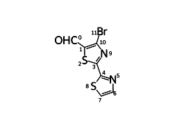 O=Cc1sc(-c2nccs2)nc1Br